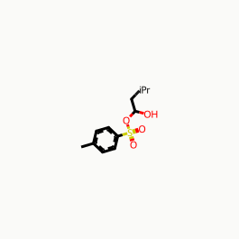 Cc1ccc(S(=O)(=O)OC(O)CC(C)C)cc1